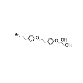 OCC(O)COc1ccc(CCCOc2ccc(CCCBr)cc2)cc1